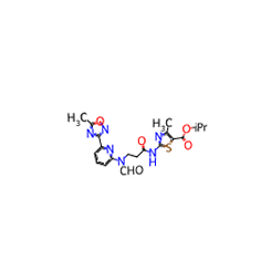 Cc1nc(-c2cccc(N(C=O)CCC(=O)Nc3nc(C)c(C(=O)OC(C)C)s3)n2)no1